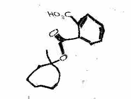 CC1(OC(=O)c2ccccc2C(=O)O)CCCCC1